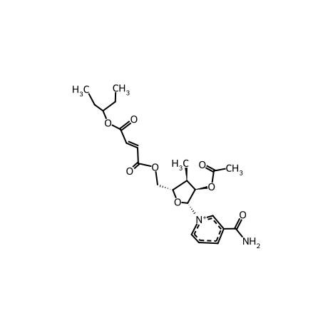 CCC(CC)OC(=O)/C=C/C(=O)OC[C@H]1O[C@@H]([n+]2cccc(C(N)=O)c2)[C@H](OC(C)=O)[C@@H]1C